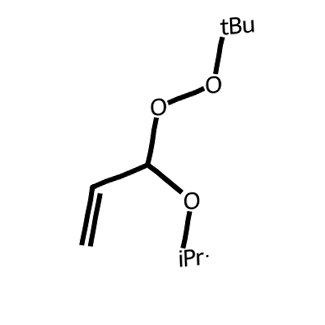 C=CC(OOC(C)(C)C)O[C](C)C